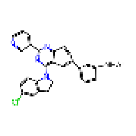 CC(=O)Nc1cccc(-c2ccc3nc(-c4cccnc4)nc(N4CCc5cc(Cl)ccc54)c3c2)c1